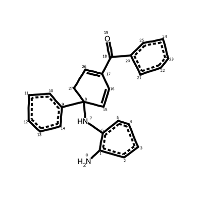 Nc1ccccc1NC1(c2ccccc2)C=CC(C(=O)c2ccccc2)=CC1